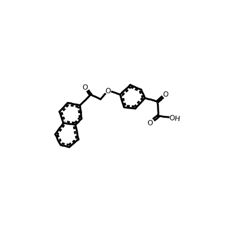 O=C(O)C(=O)c1ccc(OCC(=O)c2ccc3ccccc3c2)cc1